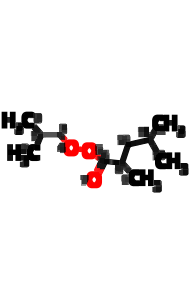 CC(C)COOC(=O)C(C)CC(C)C